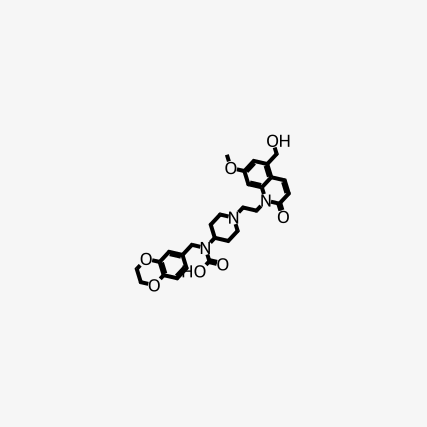 COc1cc(CO)c2ccc(=O)n(CCN3CCC(N(Cc4ccc5c(c4)OCCO5)C(=O)O)CC3)c2c1